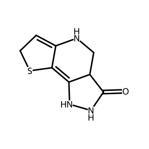 O=C1NNC2=C3SCC=C3NCC12